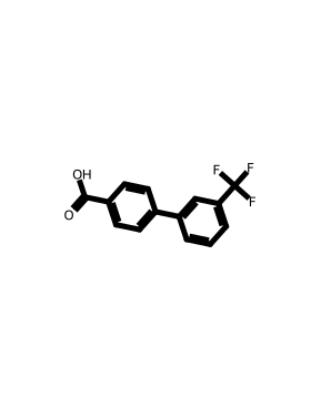 O=C(O)c1ccc(-c2cccc(C(F)(F)F)c2)cc1